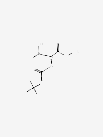 [2H]C([2H])([2H])OC(=O)N[C@H](C(=O)OC)C(C)C